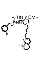 COCCN(CCCCc1ccc2c(n1)NCCC2)CC[C@H](NC(=O)OCc1cccc(F)c1)C(=O)O